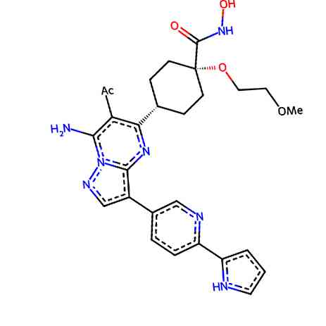 COCCO[C@]1(C(=O)NO)CC[C@H](c2nc3c(-c4ccc(-c5ccc[nH]5)nc4)cnn3c(N)c2C(C)=O)CC1